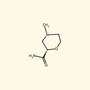 CN1CCO[C@@H](C(N)=O)C1